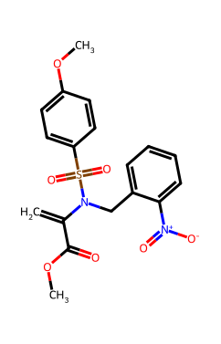 C=C(C(=O)OC)N(Cc1ccccc1[N+](=O)[O-])S(=O)(=O)c1ccc(OC)cc1